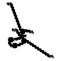 CCCCCCCCCCCCCCCCCCCc1cc(CCCC)cc(C2=C(CCCC)C(CCCCC)=C(c3cc(CCCC)cc(CCCCCCCCCCCCCCCCCCC)c3)[N+]2=[N-])c1.c1ccc([O][Ni][O]c2ccccc2)cc1